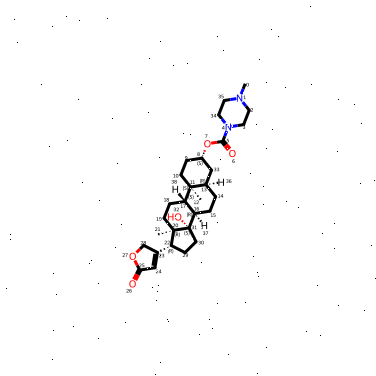 CN1CCN(C(=O)O[C@H]2CC[C@@]3(C)[C@H](CC[C@@H]4[C@@H]3CC[C@]3(C)[C@@H](C5=CC(=O)OC5)CC[C@]43O)C2)CC1